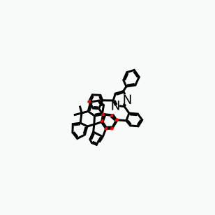 CC1(C)c2ccccc2C2(c3ccccc3-c3cc(-c4ccccc4-c4nc(-c5ccccc5)cc(-c5ccccc5-c5ccccc5)n4)ccc32)c2ccccc21